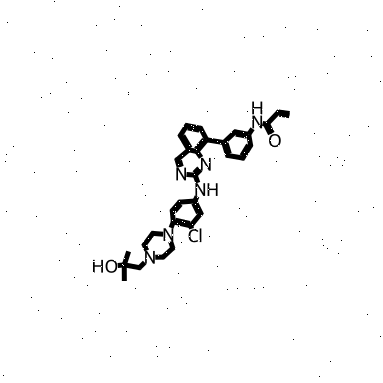 C=CC(=O)Nc1cccc(-c2cccc3cnc(Nc4ccc(N5CCN(CC(C)(C)O)CC5)c(Cl)c4)nc23)c1